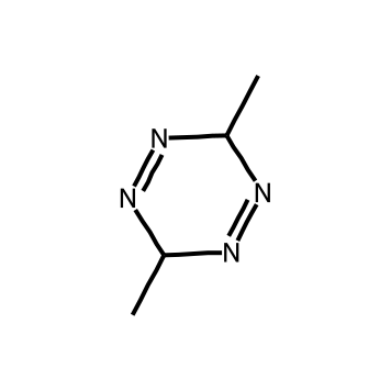 CC1N=NC(C)N=N1